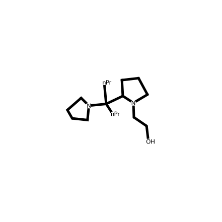 CCCC(CCC)(C1CCCN1CCO)N1CCCC1